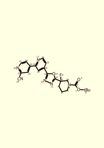 CC(C)(C)OC(=O)N1CCC[C@](F)(c2nnc(-c3ccnc(-c4ccnc(C#N)c4)c3)o2)C1